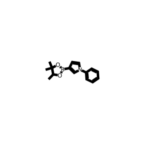 CC1OB(c2ccn(-c3ccccc3)c2)OC1(C)C